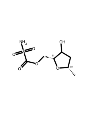 C[C@H]1CC(O)[C@@H](COC(=O)S(N)(=O)=O)O1